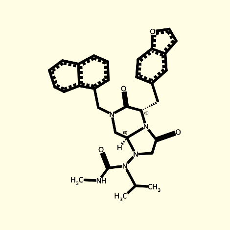 CNC(=O)N(C(C)C)N1CC(=O)N2[C@@H](Cc3ccc4occc4c3)C(=O)N(Cc3cccc4ccccc34)C[C@@H]21